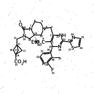 CCOC(=O)C1=C(CN2CCN3C(=O)N(CC45CC(C(=O)O)(C4)C5)C[C@@H]3C2)NC(c2nccs2)=N[C@H]1c1cccc(F)c1C